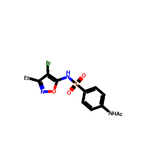 CCc1noc(NS(=O)(=O)c2ccc(NC(C)=O)cc2)c1Br